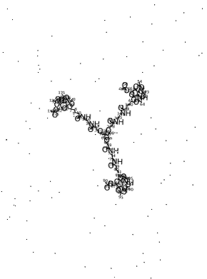 CC(=O)N[C@H]1[C@H](OCCCCC(=O)NCCCNC(=O)CCOCC(COCCC(=O)NCCCNC(=O)CCCCO[C@@H]2O[C@H](COC(C)=O)[C@H](OC(C)=O)[C@H](OC(C)=O)[C@H]2NC(C)=O)(COCCC(=O)NCCCNC(=O)CCCCO[C@@H]2O[C@H](COC(C)=O)[C@H](OC(C)=O)[C@H](OC(C)=O)[C@H]2NC(C)=O)C(C)C)O[C@H](COC(C)=O)[C@H](OC(C)=O)[C@@H]1OC(C)=O